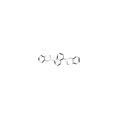 c1ccc2c(c1)CN(c1cccc3c(N4COc5ccccc5C4)cccc13)CO2